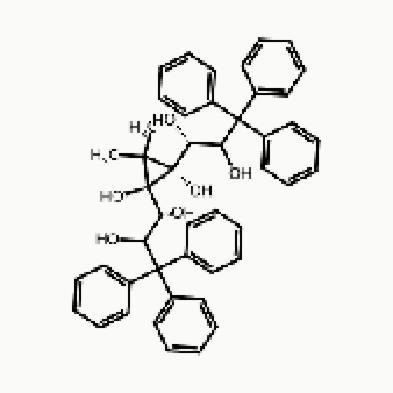 CC1(C)[C@@](O)([C@H](O)C(O)C(c2ccccc2)(c2ccccc2)c2ccccc2)[C@]1(O)[C@H](O)C(O)C(c1ccccc1)(c1ccccc1)c1ccccc1